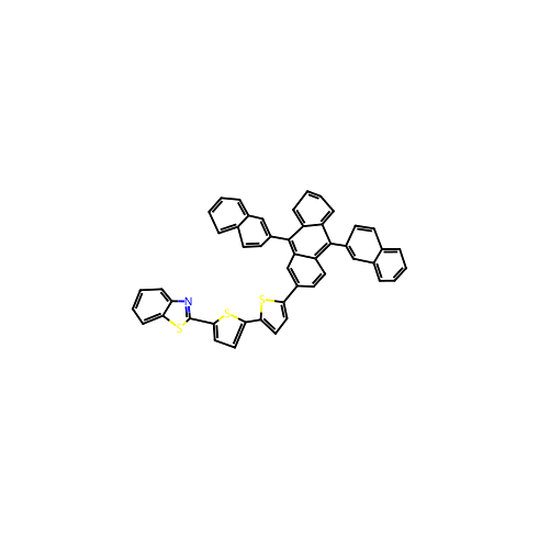 c1ccc2cc(-c3c4ccccc4c(-c4ccc5ccccc5c4)c4cc(-c5ccc(-c6ccc(-c7nc8ccccc8s7)s6)s5)ccc34)ccc2c1